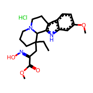 CCC1(CC(=NO)C(=O)OC)CCCN2CCc3c([nH]c4cc(OC)ccc34)C21.Cl